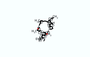 C=CCOC1(O)C[C@]23CCC4CC(=C)[C@H](CC[C@H]5C[C@@H](C)C(=C)C(CC6O[C@H]7C[C@@H](O[Si](CC)(CC)CC)[C@@H](CI)O[C@H]7[C@H](C)[C@H]6OC(=O)CC6CCC7O[C@H](C[C@@H](O2)[C@H]7O6)C1O3)O5)O4